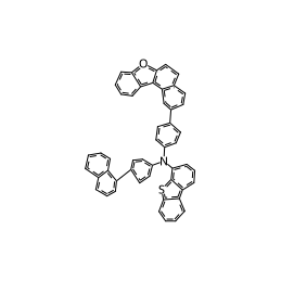 c1ccc2c(-c3ccc(N(c4ccc(-c5ccc6ccc7oc8ccccc8c7c6c5)cc4)c4cccc5c4sc4ccccc45)cc3)cccc2c1